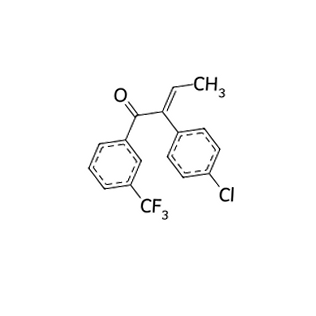 CC=C(C(=O)c1cccc(C(F)(F)F)c1)c1ccc(Cl)cc1